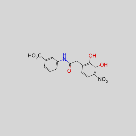 C=C(/C=C\C(CC(=O)Nc1cccc(C(=O)O)c1)=C(\O)CO)[N+](=O)[O-]